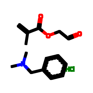 C=C(C)C(=O)OCC=O.CN(C)Cc1ccccc1.Cl